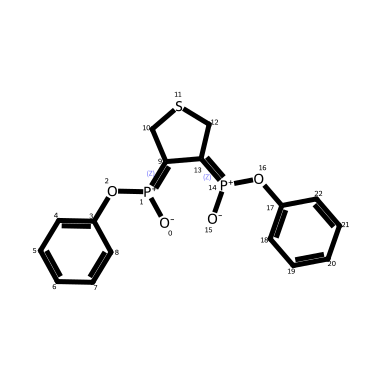 [O-]/[P+](Oc1ccccc1)=C1/CSC/C1=[P+](/[O-])Oc1ccccc1